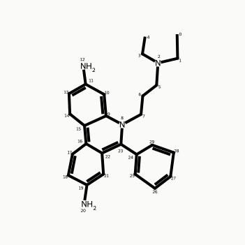 CCN(CC)CCCN1C2=CC(N)=CCC2=c2ccc(N)cc2=C1c1ccccc1